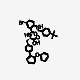 CC(C)(C)c1ccc(CNc2ccc(Br)cc2C(=O)N[C@@H](Cc2ccc(-c3ccccc3Oc3ccccc3)cc2)C(=O)O)cc1